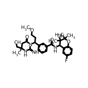 CC[C@]1(C)CC(=O)N(C(CCOC)c2cccc(C(=O)NC3c4cc(F)ccc4OC(C)(C)C3(C)O)c2)C(=N)N1